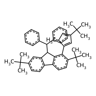 CC1C=C(C(C)(C)C)C=C1c1c(C(C)(C)C)ccc2c1C(C(c1ccccc1)c1ccccc1)c1cc(C(C)(C)C)ccc1-2